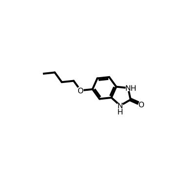 CCCCOc1ccc2[nH]c(=O)[nH]c2c1